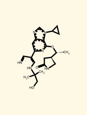 C[C@@H](Oc1nc(/C(C=N)=C/NC(C)(C)CO)cc2ncn(C3CC3)c12)[C@H]1CNC(=O)C1